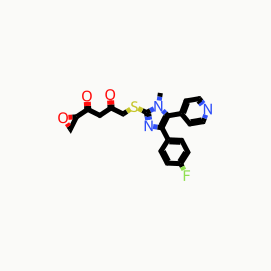 Cn1c(SCC(=O)CC(=O)C2CO2)nc(-c2ccc(F)cc2)c1-c1ccncc1